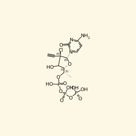 C#C[C@@]1(Cl)C(O)[C@@H]([C@H](C)OP(=O)(O)OP(=O)(O)OP(=O)(O)O)O[C@H]1n1ccc(N)nc1=O